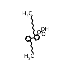 CCCCCCCCCc1c(OC(=O)O)cccc1-c1ccccc1CCCCCC